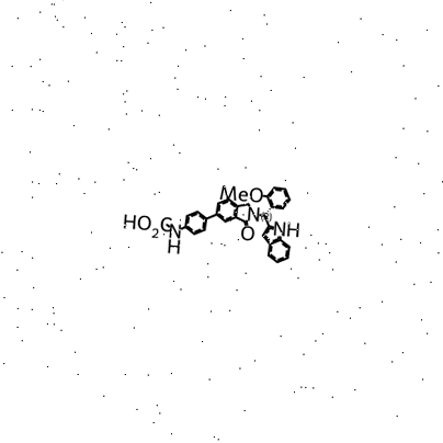 COc1ccccc1[C@H](c1cc2ccccc2[nH]1)N1Cc2ccc(-c3ccc(NC(=O)O)cc3)cc2C1=O